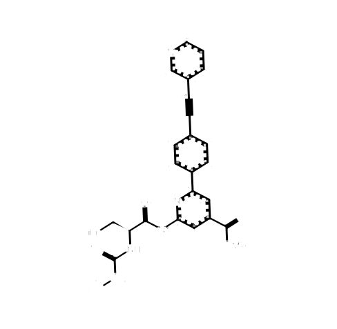 COC(=O)c1cc(NC(=O)[C@H](CC(C)C)NC(=O)OC(C)(C)C)nc(-c2ccc(C#Cc3cccnc3)cc2)c1